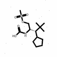 CC(C)(C)[C@H](C1CCCC1)C(COS(C)(=O)=O)NC(=O)O